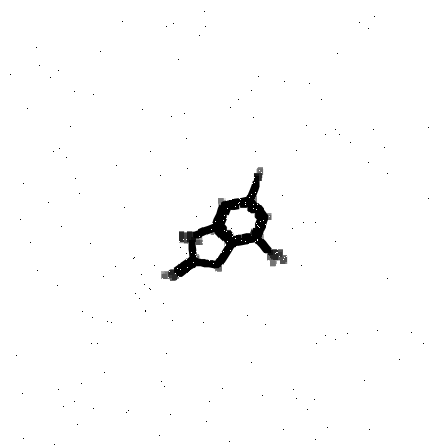 Nc1cc(F)cc2c1CC(=O)N2